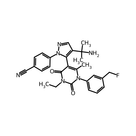 CCn1c(=O)c(-c2c(C(C)(C)N)cnn2-c2ccc(C#N)cc2)c(C)n(-c2cccc(CF)c2)c1=O